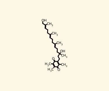 CC1=C(C)C(=O)C(CCC(C)(O)CC/C=C(\C)CC/C=C(\C)CC/C=C(\C)CO)=C(C)C1=O